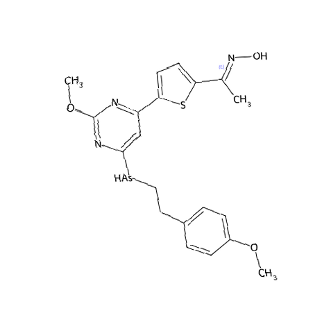 COc1ccc(CC[AsH]c2cc(-c3ccc(/C(C)=N/O)s3)nc(OC)n2)cc1